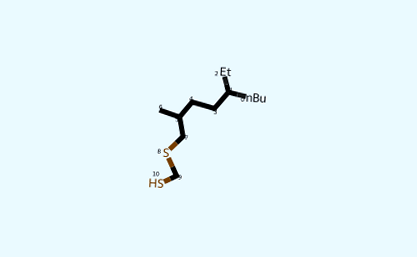 CCCCC(CC)CCC(C)CSCS